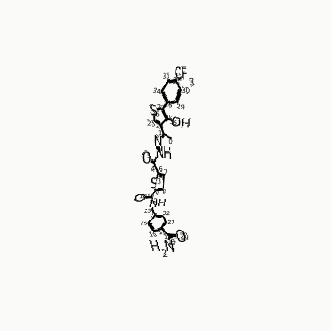 C/C(=N\NC(=O)c1ccc(C(=O)NCc2ccc(C(N)=O)cc2)s1)c1csc(-c2ccc(C(F)(F)F)cc2)c1O